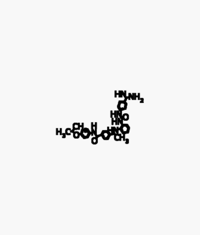 CC(C)Oc1ccc(NC(=O)c2ccc(C(C)Nc3ccccc3NC(=O)Nc3ccc(C(=N)N)cc3)cc2)cc1